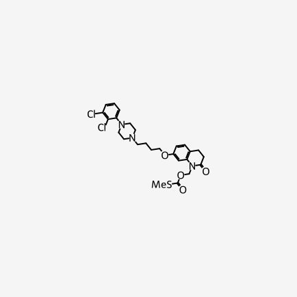 CSC(=O)OCN1C(=O)CCc2ccc(OCCCCN3CCN(c4cccc(Cl)c4Cl)CC3)cc21